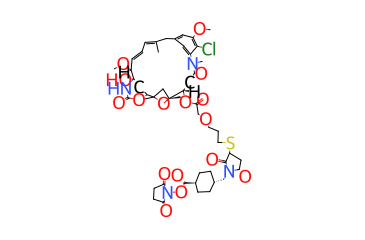 COc1cc2cc(c1Cl)N(C)C(=O)C[C@H](OC(=O)COCCCSC1CC(=O)N(C[C@H]3CC[C@H](C(=O)ON4C(=O)CCC4=O)CC3)C1=O)[C@@]1(C)CC(C)(O1)C1C[C@@](O)(NC(=O)O1)[C@H](OC)/C=C/C=C(\C)C2